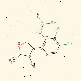 CC1C(c2ccc(F)c(F)c2OC(F)F)COC1C(F)(F)F